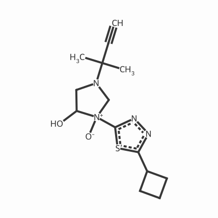 C#CC(C)(C)N1CC(O)[N+]([O-])(c2nnc(C3CCC3)s2)C1